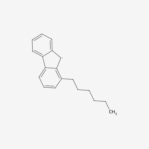 CCCCCCc1cccc2c1[CH]c1ccccc1-2